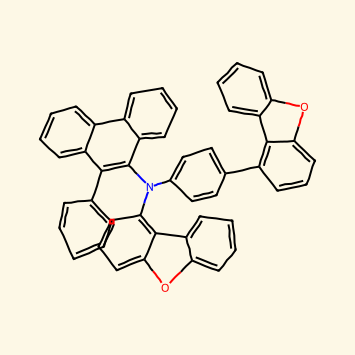 c1ccc(-c2c(N(c3ccc(-c4cccc5oc6ccccc6c45)cc3)c3cccc4oc5ccccc5c34)c3ccccc3c3ccccc23)cc1